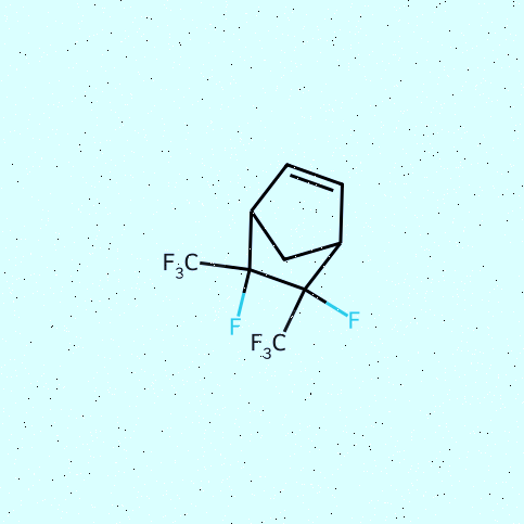 FC(F)(F)C1(F)C2C=CC(C2)C1(F)C(F)(F)F